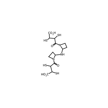 O=C(O)C(S)C(S)C(=O)N1CCC1NC1CCN1C(=O)C(S)C(S)C(=O)O